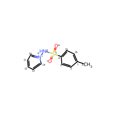 Cc1ccc(S(=O)(=O)N[n+]2ccccc2)cc1